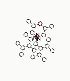 c1ccc(-c2cc(-c3ccccc3)cc(-c3cccc(-c4nc(-c5cccc(-c6cc(-c7ccccc7)cc(-c7ccccc7)c6)c5)nc(-c5ccc(-c6ccccc6-c6cc(-c7cc(-c8ccccc8)cc(-c8ccccc8)c7)cc(-c7cc(-c8ccccc8)cc(-c8ccccc8)c7)c6)c(-c6cc(-c7cc(-c8ccccc8)cc(-c8ccccc8)c7)cc(-c7cc(-c8ccccc8)cc(-c8ccccc8)c7)c6)c5)n4)c3)c2)cc1